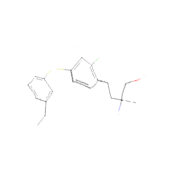 CCc1cccc(Sc2ccc(CCC(C)(N)CO)c(Cl)c2)c1.Cl